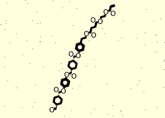 C=CC(=O)OCCOC(=O)CCC(=O)OCCc1ccc(OC(=O)[C@H]2CC[C@H](C(=O)Oc3ccc(OC(=O)[C@H]4CC[C@H](C=O)CC4)cc3)CC2)cc1